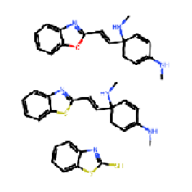 CNC1=CCC(C=Cc2nc3ccccc3o2)(NC)C=C1.CNC1=CCC(C=Cc2nc3ccccc3s2)(NC)C=C1.Sc1nc2ccccc2s1